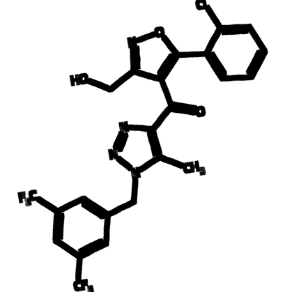 Cc1c(C(=O)c2c(CO)noc2-c2ccccc2Cl)nnn1Cc1cc(C(F)(F)F)cc(C(F)(F)F)c1